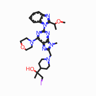 COC(C)c1nc2ccccc2n1-c1nc(N2CCOCC2)c2nc(CN3CCC(C(C)(O)CI)CC3)n(C)c2n1